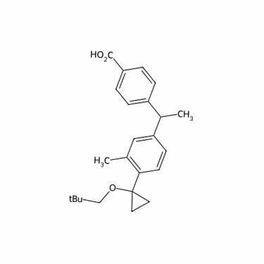 Cc1cc(C(C)c2ccc(C(=O)O)cc2)ccc1C1(OCC(C)(C)C)CC1